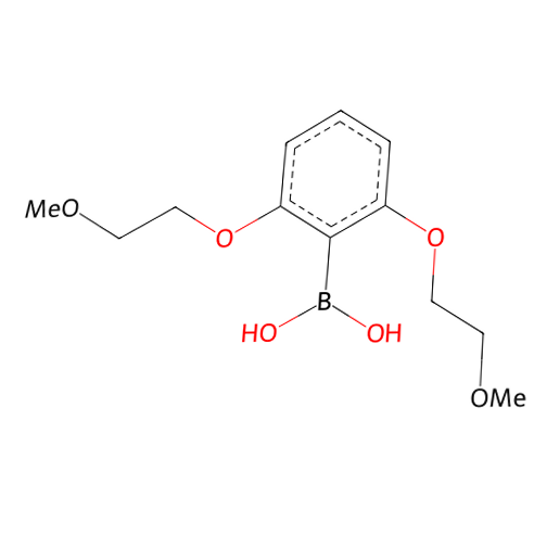 COCCOc1cccc(OCCOC)c1B(O)O